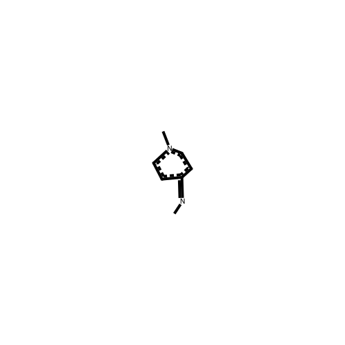 CN=c1ccn(C)cc1